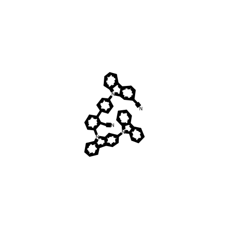 N#Cc1ccc2c3ccccc3n(-c3ccc(-c4cccc(-n5c6ccccc6c6ccc(-n7c8ccccc8c8ccccc87)cc65)c4C#N)cc3)c2c1